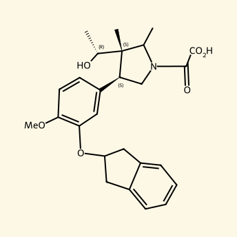 COc1ccc([C@@H]2CN(C(=O)C(=O)O)C(C)[C@@]2(C)[C@@H](C)O)cc1OC1Cc2ccccc2C1